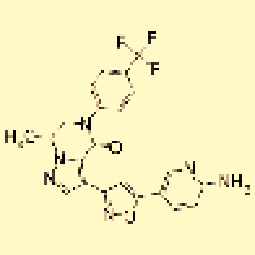 CC1CN(c2ccc(C(F)(F)F)cc2)C(=O)c2c(-c3cc(-c4ccc(N)nc4)on3)cnn21